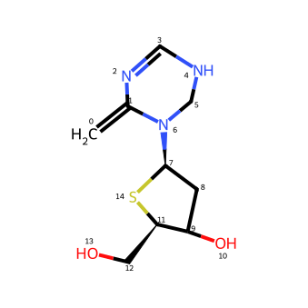 C=C1N=CNCN1[C@H]1CC(O)[C@@H](CO)S1